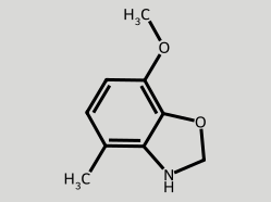 COc1ccc(C)c2c1OCN2